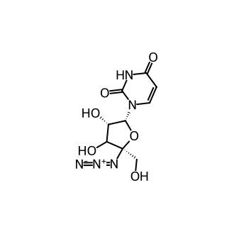 [N-]=[N+]=N[C@]1(CO)O[C@@H](n2ccc(=O)[nH]c2=O)[C@@H](O)C1O